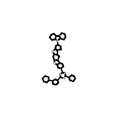 c1ccc(-c2cccc(-c3nc(-c4ccccc4)nc(-c4ccc5c(c4)oc4cc6oc7cc(-n8c9ccccc9c9ccccc98)ccc7c6cc45)n3)c2)cc1